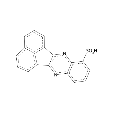 O=S(=O)(O)c1cccc2nc3c(nc12)-c1cccc2cccc-3c12